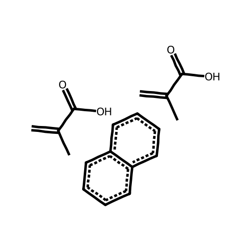 C=C(C)C(=O)O.C=C(C)C(=O)O.c1ccc2ccccc2c1